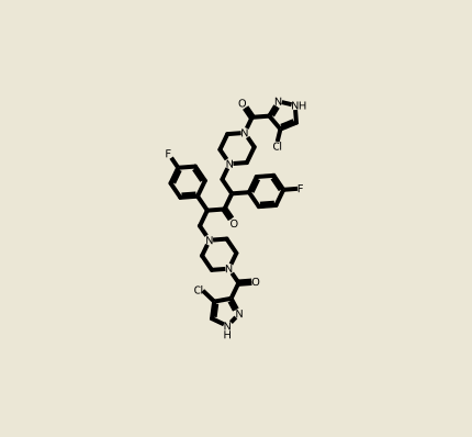 O=C(C(CN1CCN(C(=O)c2n[nH]cc2Cl)CC1)c1ccc(F)cc1)C(CN1CCN(C(=O)c2n[nH]cc2Cl)CC1)c1ccc(F)cc1